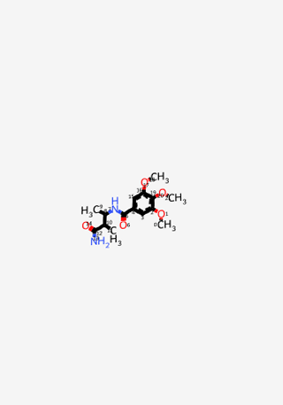 COc1cc(C(=O)NC(C)C(C)C(N)=O)cc(OC)c1OC